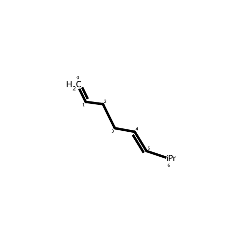 C=C[CH]C/C=C/C(C)C